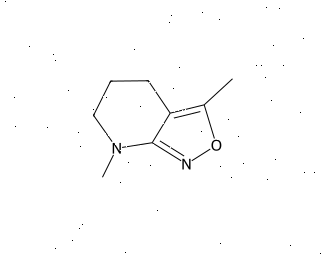 Cc1onc2c1CCCN2C